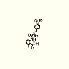 Cc1cccc(NC(=O)NCCc2ccc([N+](=O)[O-])cc2)c1C(=O)O